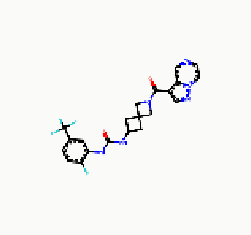 O=C(Nc1cc(C(F)(F)F)ccc1F)NC1CC2(C1)CN(C(=O)c1cnn3ccncc13)C2